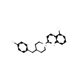 [O]c1cccc2nc(N3CCC(Cc4ccc(F)cc4)CC3)ccc12